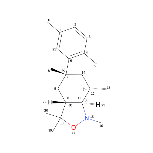 Cc1ccc(C)c([C@@]2(C)C[C@@H]3[C@@H]([C@@H](C)C2)N(C)OC3(C)C)c1